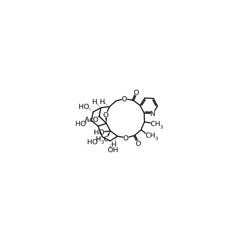 CC(=O)OC1[C@H]2[C@@H](O)[C@@H](O)C3[C@@H](O)[C@@H](O)[C@@H]4OC(=O)C(C)C(C)c5ncccc5C(=O)OC[C@H]2O[C@]13[C@@]4(C)O